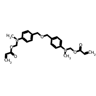 C=CC(=O)OCN(C)c1ccc(COCc2ccc(N(C)COC(=O)C=C)cc2)cc1